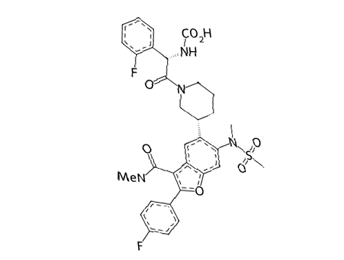 CNC(=O)c1c(-c2ccc(F)cc2)oc2cc(N(C)S(C)(=O)=O)c([C@H]3CCCN(C(=O)[C@@H](NC(=O)O)c4ccccc4F)C3)cc12